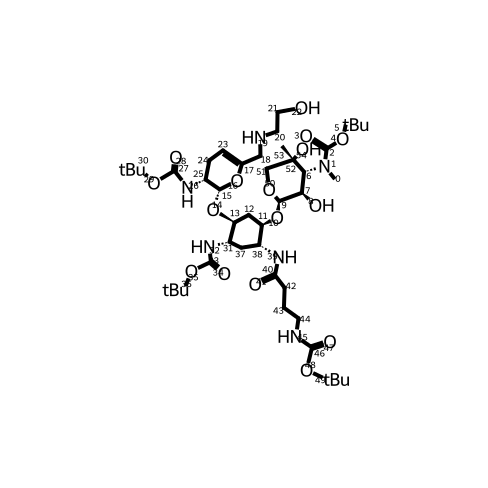 CN(C(=O)OC(C)(C)C)[C@@H]1[C@@H](O)[C@@H](O[C@@H]2C[C@H](O[C@H]3OC(CNCCO)=CC[C@H]3NC(=O)OC(C)(C)C)[C@@H](NC(=O)OC(C)(C)C)C[C@H]2NC(=O)CCCNC(=O)OC(C)(C)C)OC[C@]1(C)O